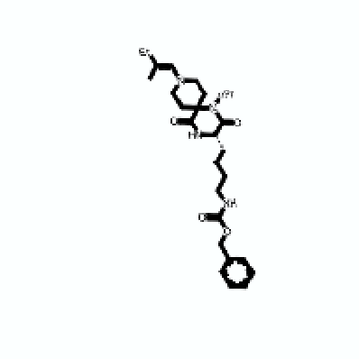 CCCN1C(=O)[C@H](CCCCNC(=O)OCc2ccccc2)NC(=O)C12CCN(/C=C(\C)CC)CC2